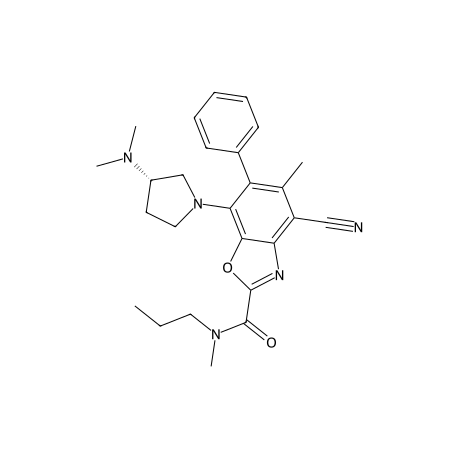 CCCN(C)C(=O)c1nc2c(C#N)c(C)c(-c3ccccc3)c(N3CC[C@H](N(C)C)C3)c2o1